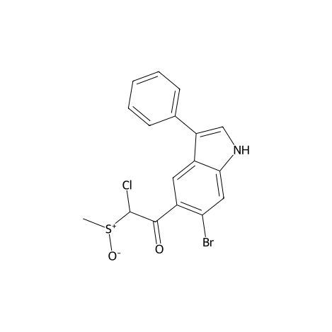 C[S+]([O-])C(Cl)C(=O)c1cc2c(-c3ccccc3)c[nH]c2cc1Br